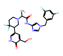 CC(C(=O)Nc1cn(Cc2cc(F)cc(F)c2)cn1)N1CCC(F)(F)C(c2c[nH]c(=O)c(CO)c2)C1